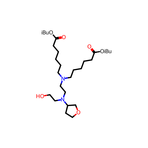 CC(C)COC(=O)CCCCCN(CCCCCC(=O)OCC(C)C)CCN(CCO)C1CCOC1